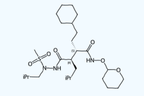 CC(C)C[C@@H](C(=O)NN(CC(C)C)S(C)(=O)=O)[C@H](CCC1CCCCC1)C(=O)NOC1CCCCO1